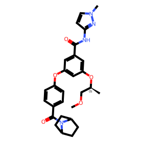 COC[C@H](C)Oc1cc(Oc2ccc(C(=O)N3C4CCC3CC4)cc2)cc(C(=O)Nc2ccn(C)n2)c1